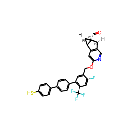 O=C[C@@]12C3c4cc(OCc5cc(-c6ccc(-c7ccc(S)cc7)cc6)c(C(F)(F)F)cc5F)ncc4[C@H]1[C@@H]32